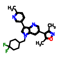 Cc1ccc(-c2cn(CC3CCC(F)(F)CC3)c3cc(-c4c(C)noc4C)cnc23)cn1